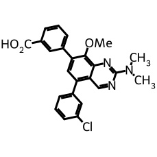 COc1c(-c2cccc(C(=O)O)c2)cc(-c2cccc(Cl)c2)c2cnc(N(C)C)nc12